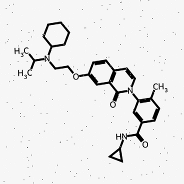 Cc1ccc(C(=O)NC2CC2)cc1-n1ccc2ccc(OCCN(C(C)C)C3CCCCC3)cc2c1=O